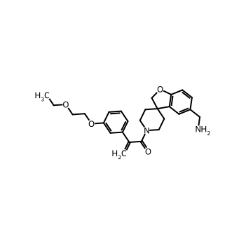 C=C(C(=O)N1CCC2(CC1)COc1ccc(CN)cc12)c1cccc(OCCOCC)c1